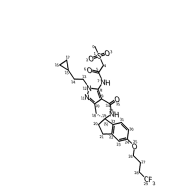 CS(=O)(=O)CC(=O)Nc1c2c(nn1CCC1CC1)C[C@]1(CCc3cc(OCCCC(F)(F)F)ccc31)NC2=O